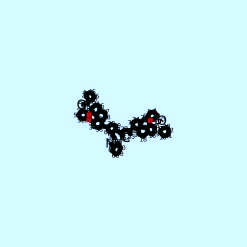 O=P(c1ccccc1)(c1ccccc1)c1ccc2ccc3c(-c4ccc5c(c4)c4ccc(-c6ccc7ccc8c(P(=O)(c9ccccc9)c9ccccc9)ccc9ccc6c7c98)cc4c4nc6ccccc6n54)ccc4ccc1c2c43